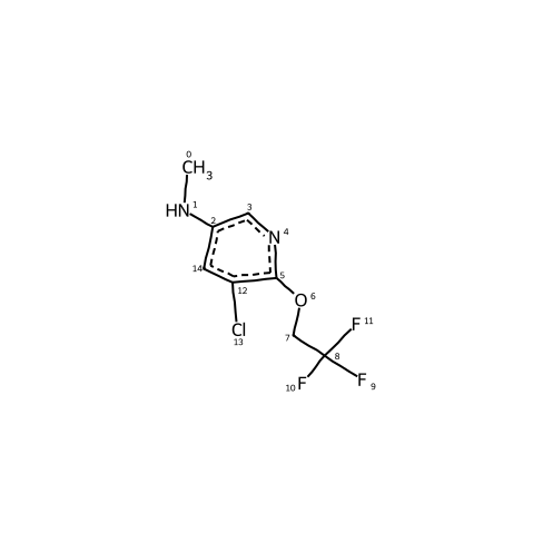 CNc1cnc(OCC(F)(F)F)c(Cl)c1